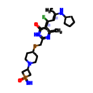 C=c1nc(CSC2CCN(C3CS(=N)(=O)C3)CC2)[nH]c(=O)/c1=C(F)/C=C(\C)NC1CCCC1